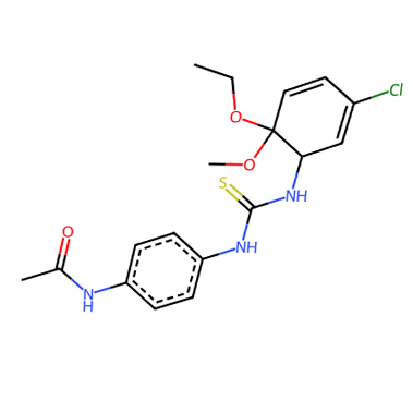 CCOC1(OC)C=CC(Cl)=CC1NC(=S)Nc1ccc(NC(C)=O)cc1